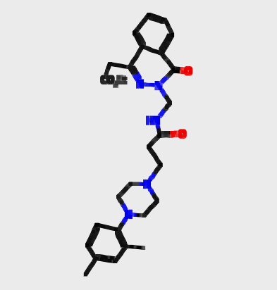 CCOC(=O)Cc1nn(CNC(=O)CCN2CCN(c3ccc(C)cc3C)CC2)c(=O)c2ccccc12